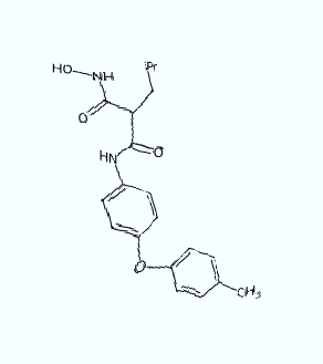 Cc1ccc(Oc2ccc(NC(=O)C(CC(C)C)C(=O)NO)cc2)cc1